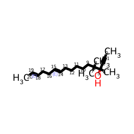 CC#CC(C)(O)C(C)(C)CCCCC/C=C/CC/C=C/C